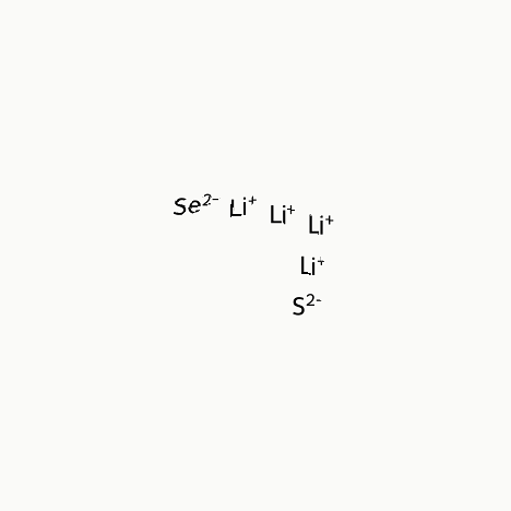 [Li+].[Li+].[Li+].[Li+].[S-2].[Se-2]